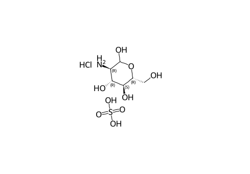 Cl.N[C@H]1C(O)O[C@H](CO)[C@@H](O)[C@@H]1O.O=S(=O)(O)O